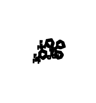 OB(Oc1cc(C(F)(F)F)cc(C(F)(F)F)c1)O[PH](c1ccccc1)(c1ccccc1)c1ccccc1